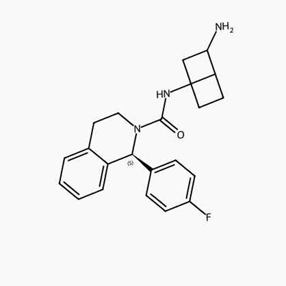 NC1CC2(NC(=O)N3CCc4ccccc4[C@@H]3c3ccc(F)cc3)CCC12